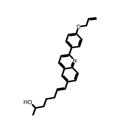 C=CCOc1ccc(-c2ccc3cc(C=CCCCC(C)O)ccc3n2)cc1